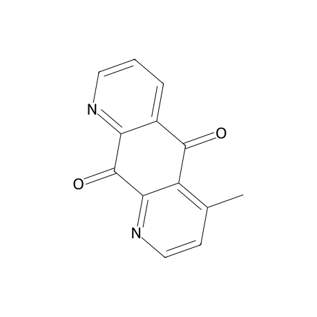 Cc1ccnc2c1C(=O)c1cccnc1C2=O